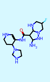 NC1NN2CC(F)CNC2C1C(=O)NC1=CNCCC1N1CCNC1